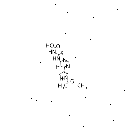 CCOC(C)n1cc(-c2ncnc(NC(=S)NC(=O)O)c2F)cn1